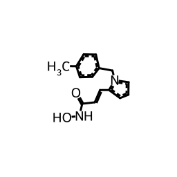 Cc1ccc(Cn2cccc2/C=C/C(=O)NO)cc1